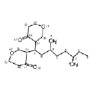 CCC(O)CCC(O)CC(C1COCCC1=O)C1COCCC1=O